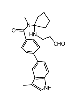 Cc1c[nH]c2ccc(-c3ccc(C(=O)N(C)C4(NCCC=O)CCCC4)cc3)cc12